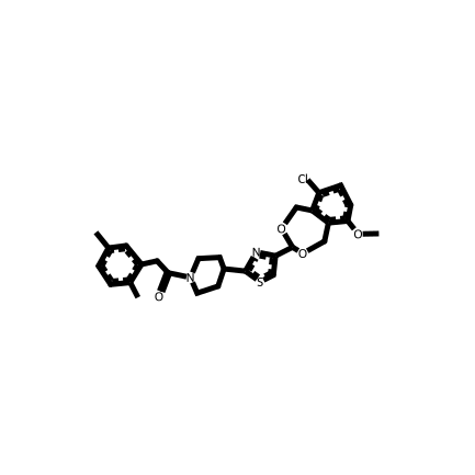 COc1ccc(Cl)c2c1COC(c1csc(C3CCN(C(=O)Cc4cc(C)ccc4C)CC3)n1)OC2